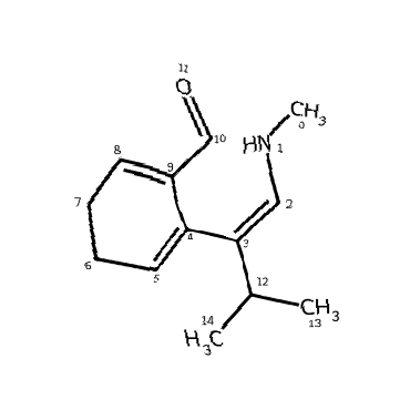 CN/C=C(\C1=CCCC=C1C=O)C(C)C